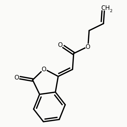 C=CCOC(=O)C=C1OC(=O)c2ccccc21